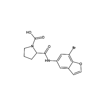 O=C(Nc1cc(Br)c2occc2c1)C1CCCN1C(=O)O